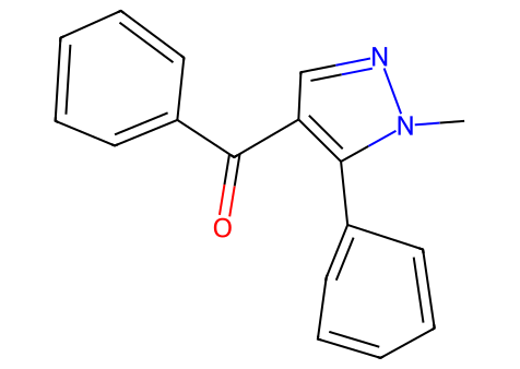 Cn1ncc(C(=O)c2ccccc2)c1-c1ccccc1